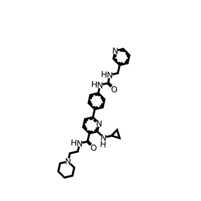 O=C(NCc1cccnc1)Nc1ccc(-c2ccc(C(=O)NCCN3CCCCC3)c(NC3CC3)n2)cc1